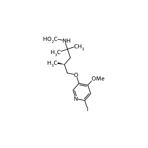 COc1cc(I)ncc1OC[C@@H](C)CC(C)(C)NC(=O)O